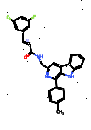 Cc1ccc(-c2nc(CNC(=O)/C=C/c3cc(F)cc(F)c3)cc3c2[nH]c2ccccc23)cc1